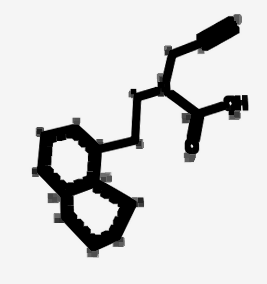 C#CCN(CCc1cccc2ccccc12)C(=O)O